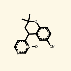 CC1(C)CC(c2ccnc[n+]2[O-])c2cc(C#N)ccc2O1